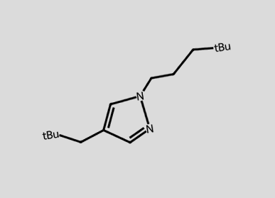 CC(C)(C)CCCn1cc(CC(C)(C)C)cn1